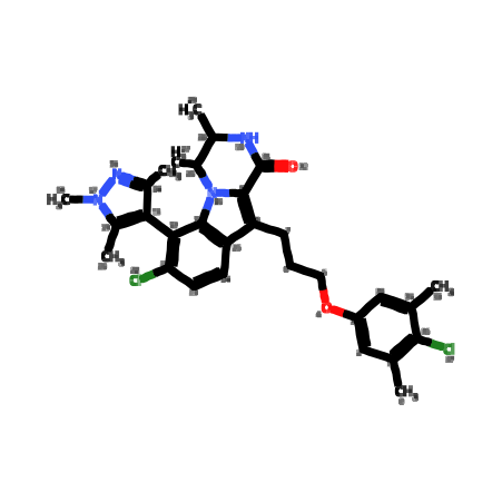 Cc1cc(OCCCc2c3n(c4c(-c5c(C)nn(C)c5C)c(Cl)ccc24)C(C)C(C)NC3=O)cc(C)c1Cl